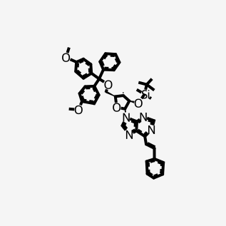 COc1ccc(C(OC[C@H]2[CH][C@@H](O[Si](C)(C)C(C)(C)C)[C@H](n3cnc4c(C=Cc5ccccc5)ncnc43)O2)(c2ccccc2)c2ccc(OC)cc2)cc1